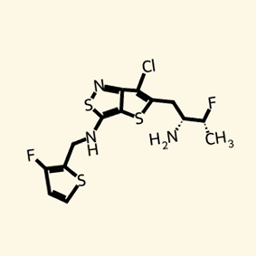 C[C@@H](F)[C@H](N)Cc1sc2c(NCc3sccc3F)snc2c1Cl